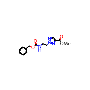 COC(=O)c1cnn(CCNC(=O)OCc2ccccc2)n1